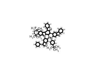 CC(C)(C)c1ccc(N2B3c4cc5occ(-c6ccccc6)c5cc4-n4c5cc6c(cc5c5c7c(oc8ccccc87)c(c3c54)-c3cc4c(cc32)sc2ccccc24)C(C)(C)CCC6(C)C)cc1